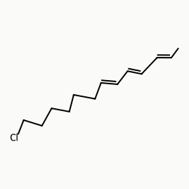 CC=CC=CC=CCCCCCCCl